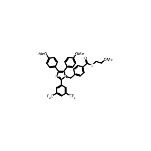 COCCOC(=O)c1ccc(Cn2c(-c3cc(C(F)(F)F)cc(C(F)(F)F)c3)nc(-c3ccc(OC)cc3)c2-c2ccc(OC)cc2)cc1